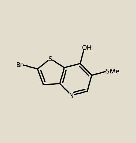 CSc1cnc2cc(Br)sc2c1O